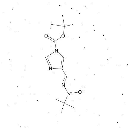 CC(C)(C)OC(=O)n1cnc(/C=N/[S+]([O-])C(C)(C)C)c1